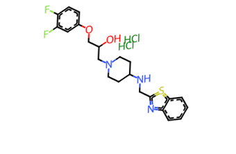 Cl.Cl.OC(COc1ccc(F)c(F)c1)CN1CCC(NCc2nc3ccccc3s2)CC1